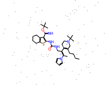 CCCCC1=C(/C(CNC(=O)Nc2sc3c(c2C(=N)OC(C)(C)C)CCCC3)=C(\C)n2cccc2)CCN(C(C)(C)C)C1